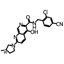 C[C@@H]1CCN(c2ccc3c(O)c(C(=O)NCc4ccc(C#N)cc4Cl)ncc3n2)C1